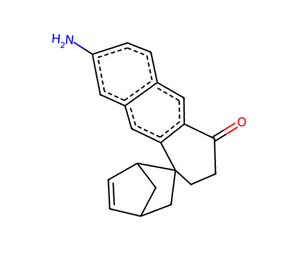 Nc1ccc2cc3c(cc2c1)C1(CCC3=O)CC2C=CC1C2